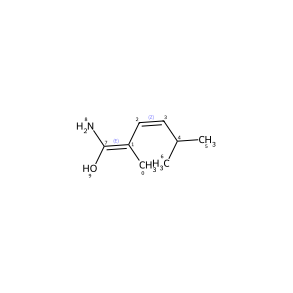 CC(/C=C\C(C)C)=C(/N)O